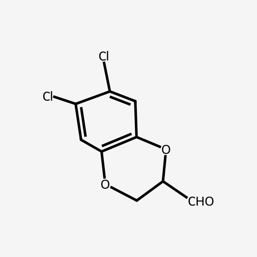 O=CC1COc2cc(Cl)c(Cl)cc2O1